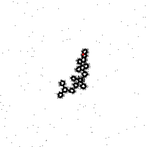 c1ccc(-c2cc(-c3ccccc3)cc(-c3cccc(-c4ccc(-c5c(-c6ccccc6)nc(-c6cccc(-c7c8ccccc8c(-c8cccc9c8ccc8cc%10ccccc%10cc89)c8ccccc78)c6)nc5-c5ccccc5)cc4)c3)c2)cc1